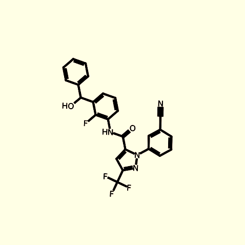 N#Cc1cccc(-n2nc(C(F)(F)F)cc2C(=O)Nc2cccc(C(O)c3ccccc3)c2F)c1